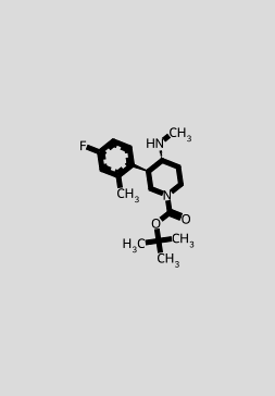 CN[C@@H]1CCN(C(=O)OC(C)(C)C)C[C@H]1c1ccc(F)cc1C